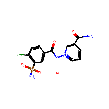 NC(=O)c1ccc[n+](NC(=O)c2ccc(Cl)c(S(N)(=O)=O)c2)c1.[OH-]